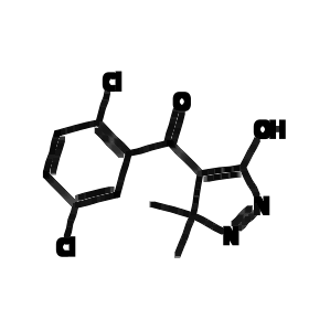 CC1(C)N=NC(O)=C1C(=O)c1cc(Cl)ccc1Cl